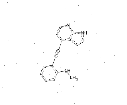 CNc1ccccc1C#Cc1ccnc2[nH]ccc12